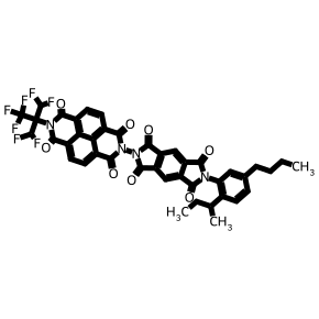 CCCCc1ccc(C(C)CC)c(-n2c(=O)c3cc4c(=O)n(N5C(=O)c6ccc7c8c(ccc(c68)C5=O)C(=O)N(C(C(F)F)(C(F)F)C(F)(F)F)C7=O)c(=O)c4cc3c2=O)c1